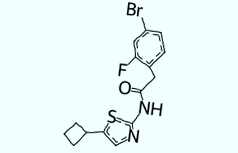 O=C(Cc1ccc(Br)cc1F)Nc1ncc(C2CCC2)s1